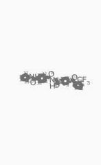 O=C(NCC(=O)N1CCN(C(=O)c2ccccc2C(F)(F)F)CC1)c1ccc(C(=O)NC2CCCC2)cc1